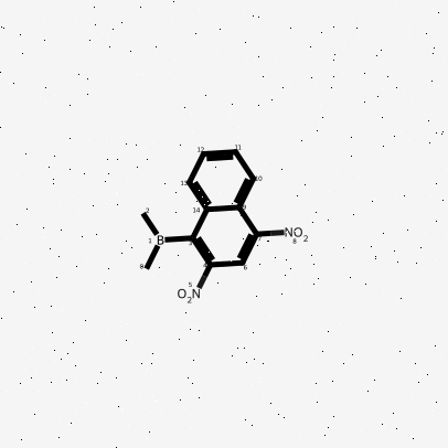 CB(C)c1c([N+](=O)[O-])cc([N+](=O)[O-])c2ccccc12